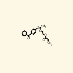 C=CC(=O)OCCOC(C)Oc1ccc(C(=O)c2ccccc2)cc1